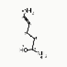 NC=CCCC(N)O